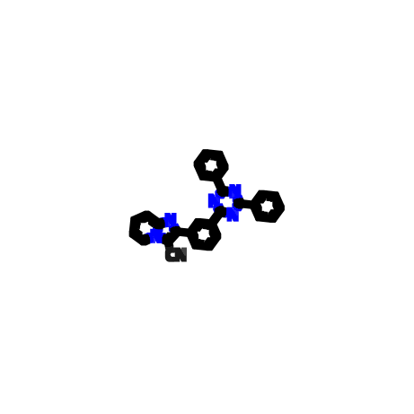 N#Cc1c(-c2cccc(-c3nc(-c4ccccc4)nc(-c4ccccc4)n3)c2)nc2ccccn12